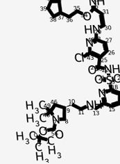 CC(C)(C)OC(=O)N1C[C@@H](CCNCc2cccc(S(=O)(=O)NC(=O)c3ccc(N/C=C\C(=N)OCCC4CCCC4)nc3Cl)n2)CC1(C)C